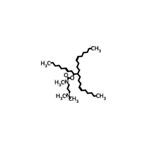 CCCCC/C=C\CCCC(CCC/C=C\CCCCC)C(C/C=C/CCCCC)OC(=O)N(C)CCCN(C)C